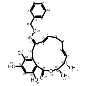 C[C@H]1/C=C/CC/C=C/C(=N\OCc2ccccc2)Cc2c(Cl)c(O)cc(O)c2C(=O)O[C@@H]1C